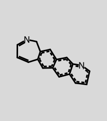 C1=Cc2cc3cc4cccnc4cc3cc2CN=C1